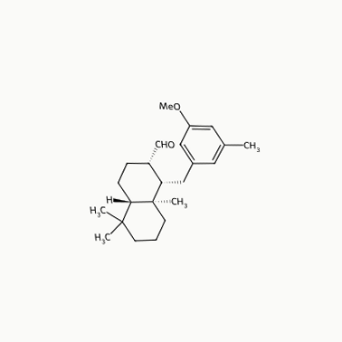 COc1cc(C)cc(C[C@H]2[C@@H](C=O)CC[C@H]3C(C)(C)CCC[C@]23C)c1